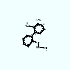 ONOc1ccccc1-c1ccccc1O.[Zn]